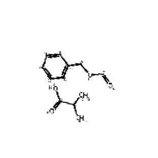 CC(C)C(=O)O.O=COCc1ccccc1